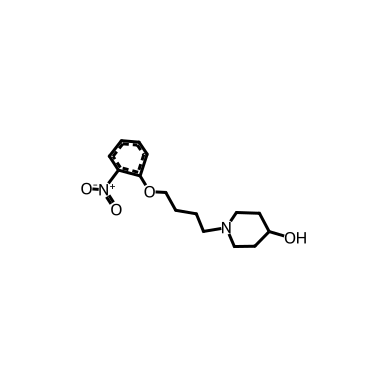 O=[N+]([O-])c1ccccc1OCCCCN1CCC(O)CC1